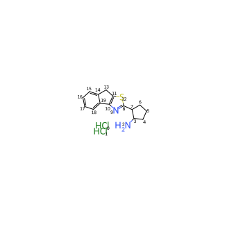 Cl.Cl.NC1CCCC1c1nc2c(s1)Cc1ccccc1-2